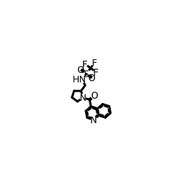 O=C(c1ccnc2ccccc12)N1CCCC1CNS(=O)(=O)C(F)(F)F